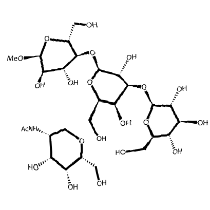 CC(=O)N[C@@H]1CO[C@H](CO)[C@H](O)[C@@H]1O.CO[C@H]1O[C@H](CO)[C@@H](O[C@@H]2O[C@H](CO)[C@H](O)[C@H](O[C@@H]3O[C@H](CO)[C@@H](O)[C@H](O)[C@H]3O)[C@H]2O)[C@H](O)[C@H]1O